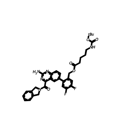 CC(C)(C)OC(=O)NCCCCC(=O)OCc1cc(F)c(F)cc1-c1ccc2nc(N)nc(C(=O)N3Cc4ccccc4C3)c2c1